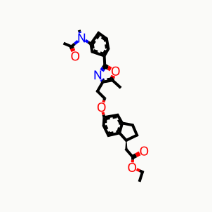 CCOC(=O)C[C@@H]1CCc2cc(OCCc3nc(-c4cccc(N(C)C(C)=O)c4)oc3C)ccc21